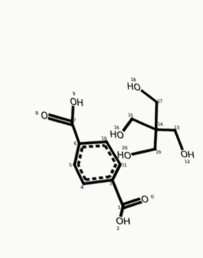 O=C(O)c1ccc(C(=O)O)cc1.OCC(CO)(CO)CO